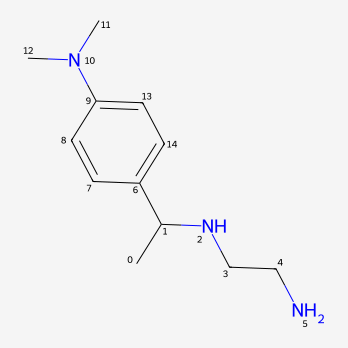 CC(NCCN)c1ccc(N(C)C)cc1